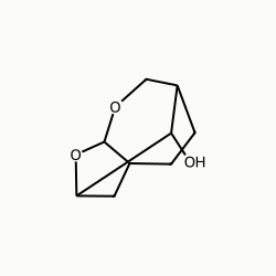 OC1C2CCC3CC1OC3OC2